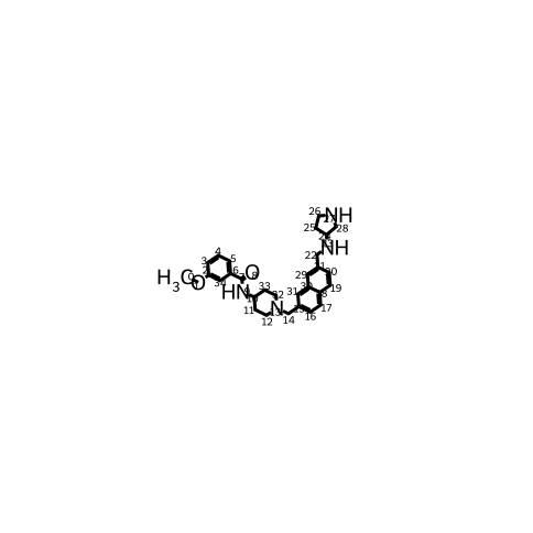 COc1cccc(C(=O)NC2CCN(Cc3ccc4ccc(CNC5CCNC5)cc4c3)CC2)c1